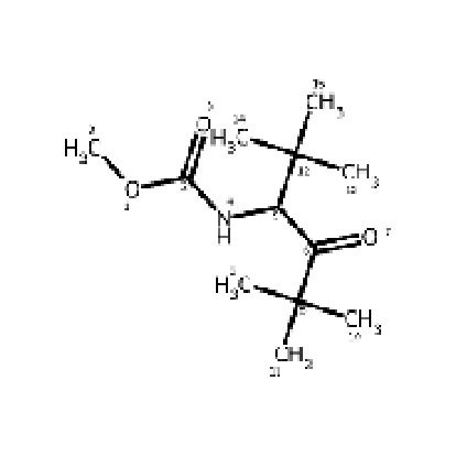 COC(=O)NC(C(=O)C(C)(C)C)C(C)(C)C